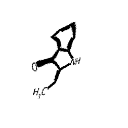 C/C=C1/Nc2ccccc2C1=O